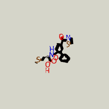 CSCC[C@H](NC(=O)c1ccc(C(=O)c2nccs2)cc1-c1ccccc1)C(=O)O